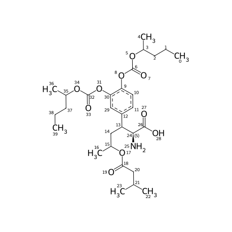 CCCC(C)OC(=O)Oc1ccc(C(CC(C)OC(=O)CC(C)C)[C@H](N)C(=O)O)cc1OC(=O)OC(C)CCC